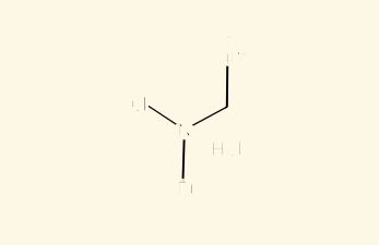 CCN(Cl)CC(C)C.Cl